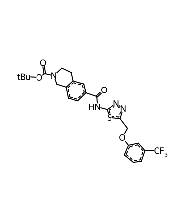 CC(C)(C)OC(=O)N1CCc2cc(C(=O)Nc3nnc(COc4cccc(C(F)(F)F)c4)s3)ccc2C1